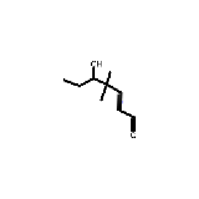 CCC(O)C(C)(C)/C=C/C=O